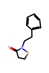 O=C1CCSN1CCc1ccccc1